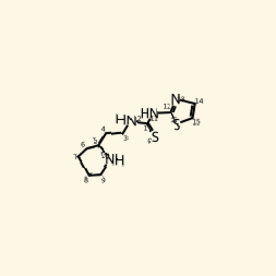 S=C(NCCC1CCCCN1)Nc1nccs1